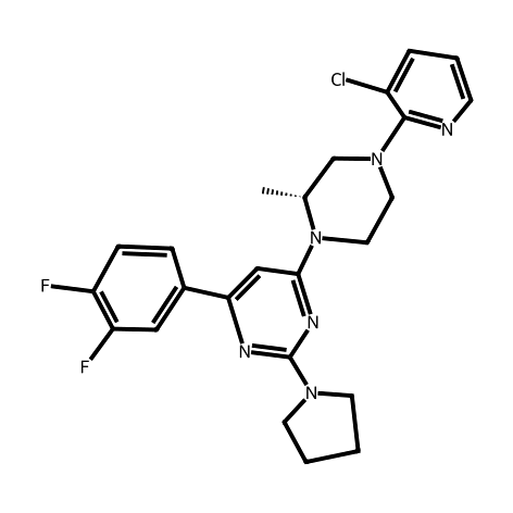 C[C@@H]1CN(c2ncccc2Cl)CCN1c1cc(-c2ccc(F)c(F)c2)nc(N2CCCC2)n1